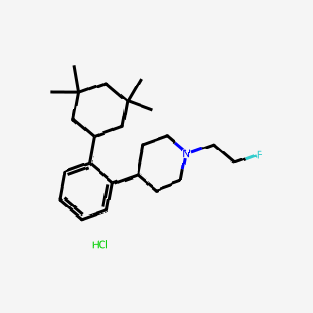 CC1(C)CC(c2ccccc2C2CCN(CCF)CC2)CC(C)(C)C1.Cl